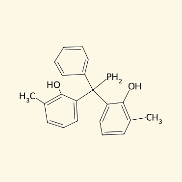 Cc1cccc(C(P)(c2ccccc2)c2cccc(C)c2O)c1O